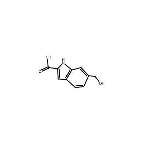 O=C(O)c1cc2ccc(CO)cc2[nH]1